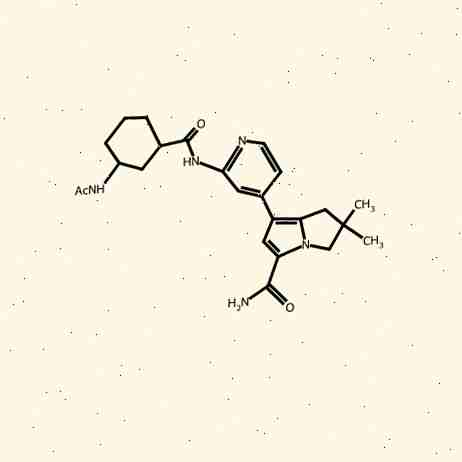 CC(=O)NC1CCCC(C(=O)Nc2cc(-c3cc(C(N)=O)n4c3CC(C)(C)C4)ccn2)C1